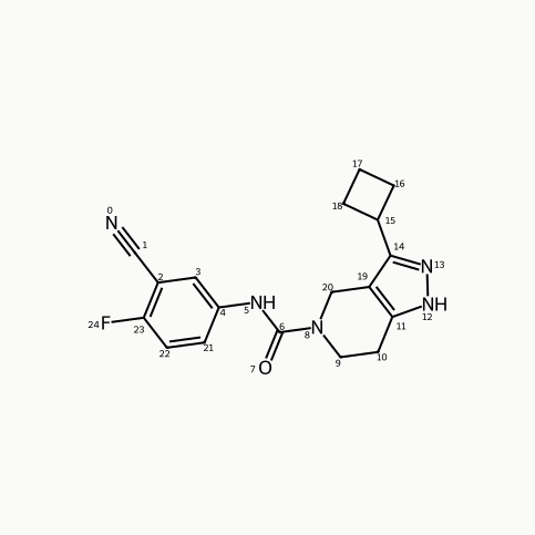 N#Cc1cc(NC(=O)N2CCc3[nH]nc(C4CCC4)c3C2)ccc1F